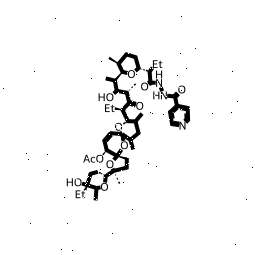 CCC(C(=O)NNC(=O)c1ccncc1)[C@H]1CC[C@H](C)[C@H](C(C)C(O)[C@H](C)C(=O)[C@H](CC)[C@H]2O[C@]3(C=C[C@@H](OC(C)=O)[C@]4(CC[C@@](C)([C@H]5CC[C@](O)(CC)C(C)O5)O4)O3)C(C)CC2C)O1